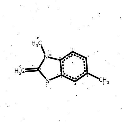 C=C1Sc2cc(C)ccc2N1C